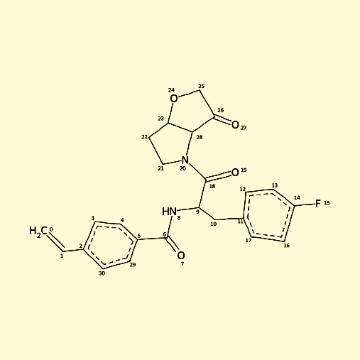 C=Cc1ccc(C(=O)NC(Cc2ccc(F)cc2)C(=O)N2CCC3OCC(=O)C32)cc1